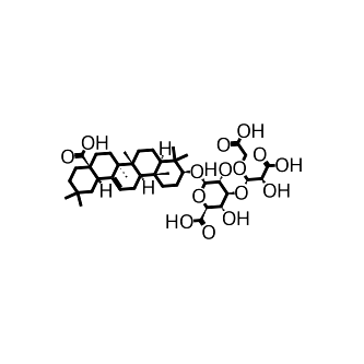 CC1(C)CC[C@]2(C(=O)O)CC[C@]3(C)C(=CC[C@@H]4[C@@]5(C)CC[C@H](O[C@@H]6O[C@H](C(=O)O)[C@@H](O)[C@H](O[C@H](OCC(=O)O)[C@H](O)C(=O)O)[C@H]6O)C(C)(C)[C@@H]5CC[C@]43C)[C@@H]2C1